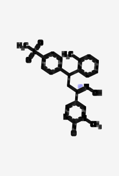 Cc1ccccc1C(C/C(=N/O)c1cnc(=O)n(C)c1)c1ccc(S(C)(=O)=O)cc1